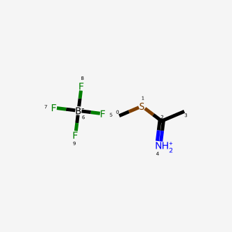 CSC(C)=[NH2+].F[B-](F)(F)F